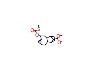 COC(OC)C1C2CCC1C1CC(OC(=O)SC)/C=C/CCC12